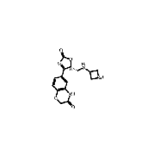 O=C1COc2ccc(C3=NC(=O)O[C@@H]3CNC3CNC3)cc2N1